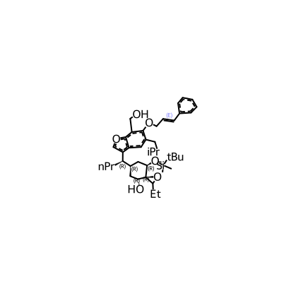 CCC[C@@H](c1coc2c(CO)c(OC/C=C/c3ccccc3)c(CC(C)C)cc12)[C@@H]1C[C@@H](O)[C@]2(OC2CC)[C@H](O[Si](C)(C)C(C)(C)C)C1